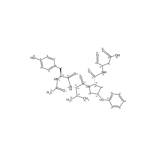 CC(=O)N[C@@H](Cc1ccc(O)cc1)C(=O)N[C@H](C(=O)N1CC(Oc2ccccc2)C[C@H]1C(=O)NC(C=O)CC(=O)O)C(C)C